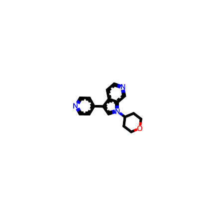 c1cc(-c2cn(C3CCOCC3)c3cnccc23)ccn1